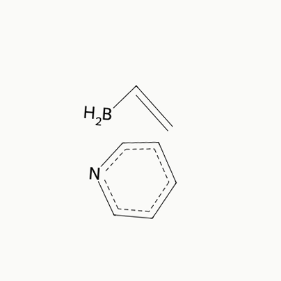 BC=C.c1ccncc1